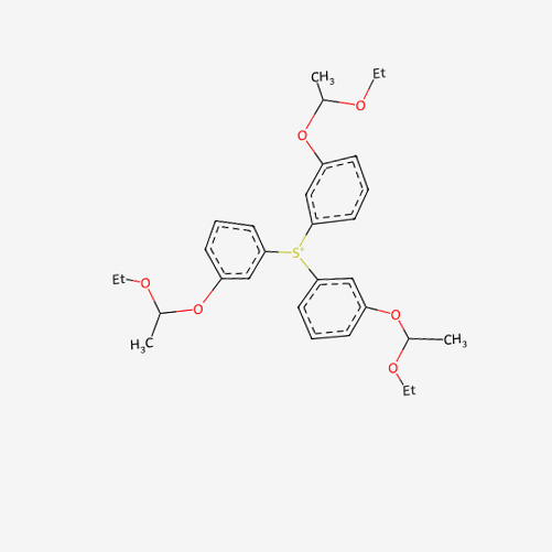 CCOC(C)Oc1cccc([S+](c2cccc(OC(C)OCC)c2)c2cccc(OC(C)OCC)c2)c1